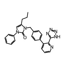 CCCc1cn(-c2ccccc2)c(=O)n1Cc1ccc(-c2cccnc2-c2nnn[nH]2)cc1